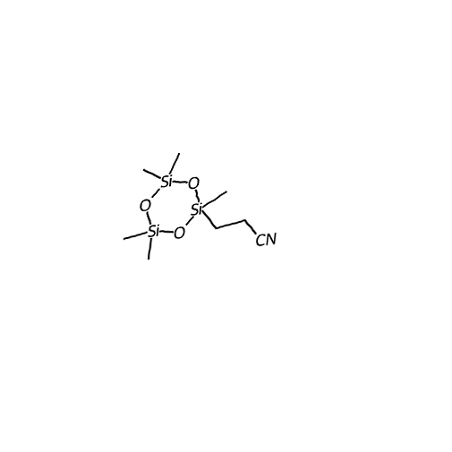 C[Si]1(C)O[Si](C)(C)O[Si](C)(CCC#N)O1